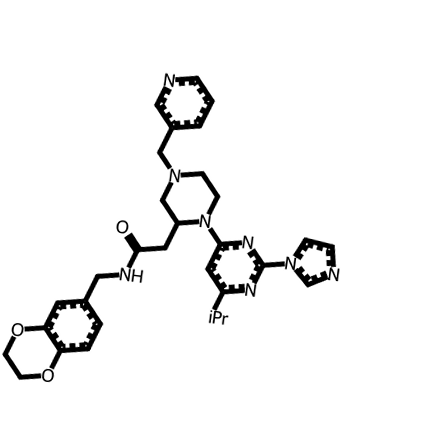 CC(C)c1cc(N2CCN(Cc3cccnc3)CC2CC(=O)NCc2ccc3c(c2)OCCO3)nc(-n2ccnc2)n1